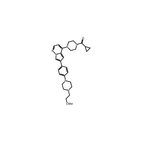 COCCN1CCN(c2ccc(-c3cc4c(N5CCN(C(=O)C6CC6)CC5)ccnn4c3)cc2)CC1